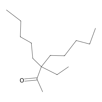 CCCCCC(CC)(CCCCC)C(C)=O